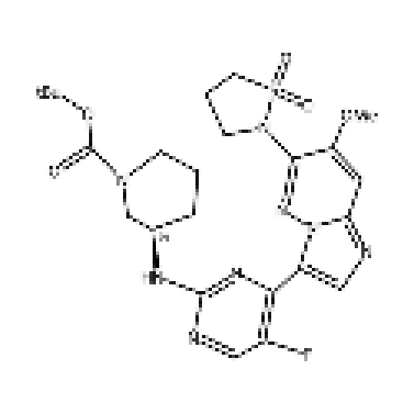 COc1cc2ncc(-c3nc(N[C@@H]4CCCN(C(=O)OC(C)(C)C)C4)ncc3F)n2nc1N1CCCS1(=O)=O